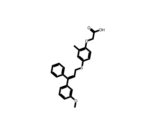 COc1cccc(C(=CCSc2ccc(OCC(=O)O)c(C)c2)c2ccccc2)c1